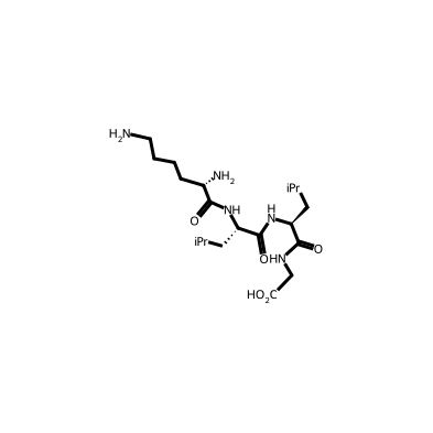 CC(C)C[C@H](NC(=O)[C@H](CC(C)C)NC(=O)[C@@H](N)CCCCN)C(=O)NCC(=O)O